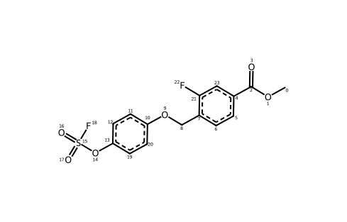 COC(=O)c1ccc(COc2ccc(OS(=O)(=O)F)cc2)c(F)c1